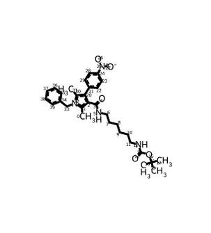 Cc1c(C(=O)NCCCCCCNC(=O)OC(C)(C)C)c(-c2ccc([N+](=O)[O-])cc2)c(C)n1Cc1ccccc1